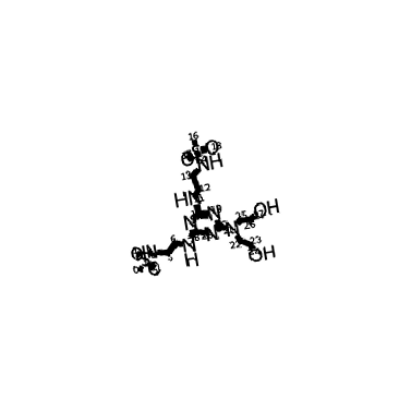 CS(=O)(=O)NCCNc1nc(NCCNS(C)(=O)=O)nc(N(CCO)CCO)n1